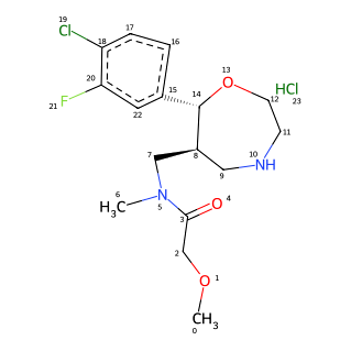 COCC(=O)N(C)C[C@@H]1CNCCO[C@H]1c1ccc(Cl)c(F)c1.Cl